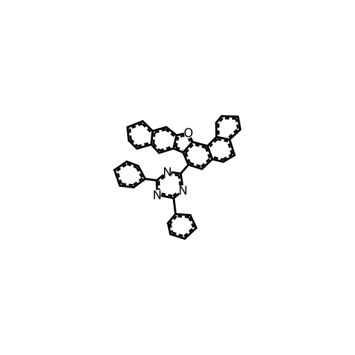 c1ccc(-c2nc(-c3ccccc3)nc(-c3cc4ccc5ccccc5c4c4oc5cc6ccccc6cc5c34)n2)cc1